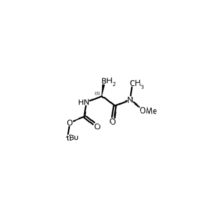 B[C@H](NC(=O)OC(C)(C)C)C(=O)N(C)OC